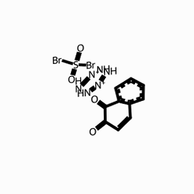 N=[N+]=N.N=[N+]=N.O=C1C=Cc2ccccc2C1=O.O=S(=O)(Br)Br